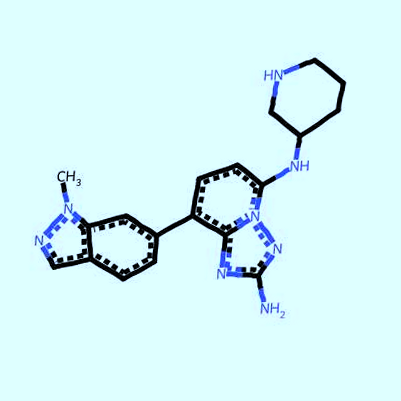 Cn1ncc2ccc(-c3ccc(NC4CCCNC4)n4nc(N)nc34)cc21